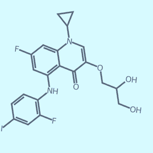 O=c1c(OCC(O)CO)cn(C2CC2)c2cc(F)cc(Nc3ccc(I)cc3F)c12